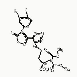 CC(C)(C)OC(=O)N(C(=O)OC(C)(C)C)[C@H](CCNc1nonc1-c1noc(=O)n1-c1ccc(F)c(Br)c1)C(=O)O